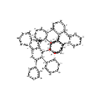 c1ccc(-c2cc3c([nH]c4ccccc43)c(-c3cccnc3-c3ccccc3-c3cccc4c5ccccc5c5ccccc5c34)c2-c2ccccc2)cc1